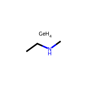 CCNC.[GeH4]